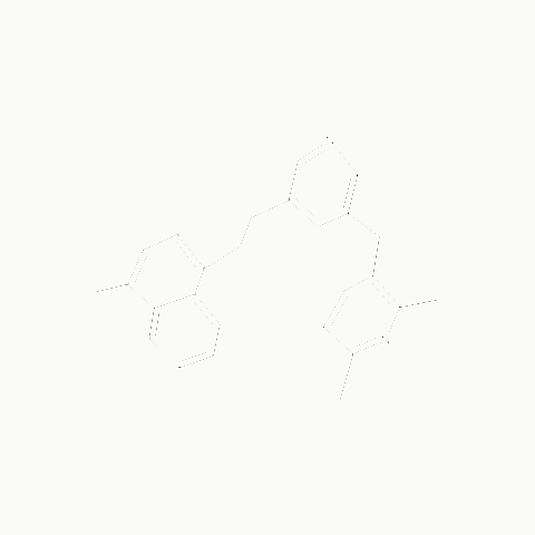 Cc1ccc(Cc2cncc(CCc3ccc(C)c4ccccc34)c2)c(C)n1